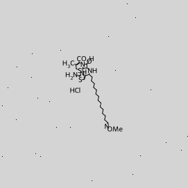 CON=CCCCCCCCCCCCCCCC(NC1C(=O)N2C(C(=O)O)=C(C)CS[C@@H]12)c1csc(N)n1.Cl